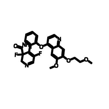 COCCOc1cc2nccc(Oc3ccccc3C3=C(F)C=NCC3(F)C(N)=O)c2cc1OC